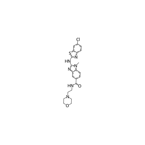 Cn1c(Nc2nc3ccc(Cl)cc3s2)nc2cc(C(=O)NCCN3CCOCC3)ccc21